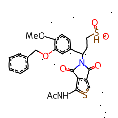 COc1ccc(C(CC[SH](=O)=O)N2C(=O)c3csc(NC(C)=O)c3C2=O)cc1OCc1ccccc1